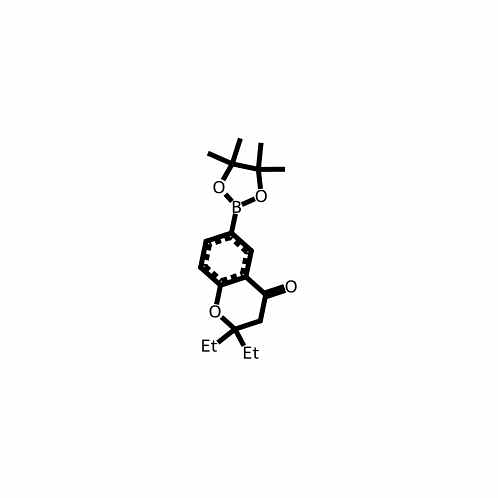 CCC1(CC)CC(=O)c2cc(B3OC(C)(C)C(C)(C)O3)ccc2O1